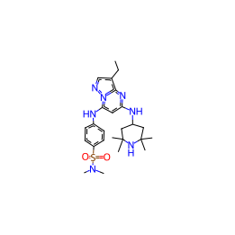 CCc1cnn2c(Nc3ccc(S(=O)(=O)N(C)C)cc3)cc(NC3CC(C)(C)NC(C)(C)C3)nc12